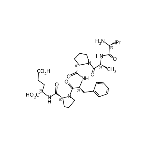 CC(C)[C@H](N)C(=O)N[C@@H](C)C(=O)N1CCC[C@H]1C(=O)N[C@@H](Cc1ccccc1)C(=O)N1CCC[C@H]1C(=O)N[C@@H](CCC(=O)O)C(=O)O